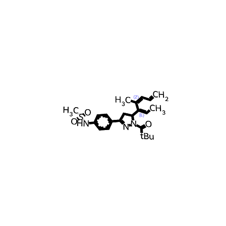 C=C/C=C(C)\C(=C/C)C1CC(c2ccc(NS(C)(=O)=O)cc2)=NN1C(=O)C(C)(C)C